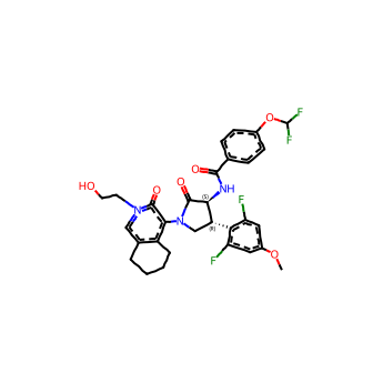 COc1cc(F)c([C@@H]2CN(c3c4c(cn(CCO)c3=O)CCCC4)C(=O)[C@H]2NC(=O)c2ccc(OC(F)F)cc2)c(F)c1